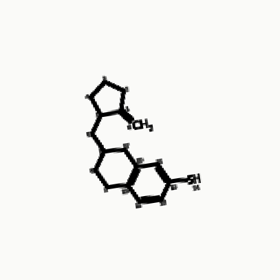 C=C1CCCC1CC1CCc2ccc(S)cc2C1